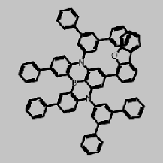 c1ccc(-c2cc(-c3ccccc3)cc(N3c4ccc(-c5ccccc5)cc4B4c5cc(-c6ccccc6)ccc5N(c5cc(-c6ccccc6)cc(-c6ccccc6)c5)c5cc(-c6cccc7c6oc6ccccc67)cc3c54)c2)cc1